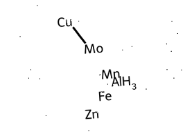 [AlH3].[Cu][Mo].[Fe].[Mn].[Zn]